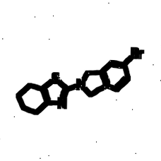 Brc1ccc2c(c1)CN(c1nc3c(s1)CCCC3)C2